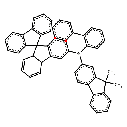 CC1(C)c2ccccc2-c2ccc(N(c3ccc4c(c3)C3C=CC=CC3C43c4ccccc4-c4ccccc43)c3ccccc3-c3ccccc3)cc21